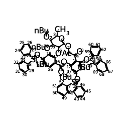 CCCCOC1C(C)OC(OCC(=O)c2c(OC(=O)c3ccc(O[Si](c4ccccc4)(c4ccccc4)C(C)(C)C)cc3)cc(O[Si](c3ccccc3)(c3ccccc3)C(C)(C)C)cc2O[Si](c2ccccc2)(c2ccccc2)C(C)(C)C)C(OC(C)=O)C1OCCCC